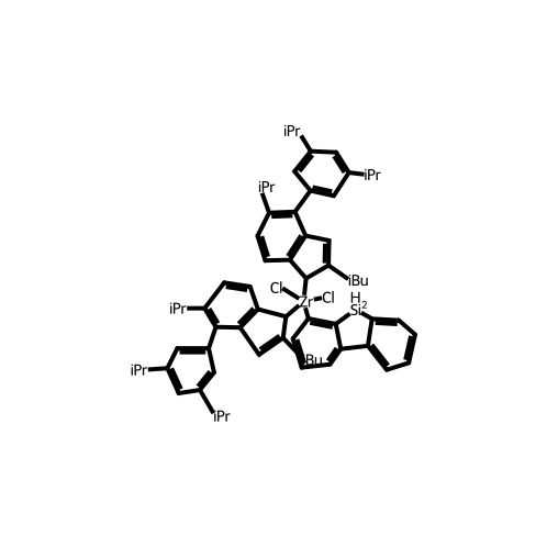 CCC(C)C1=Cc2c(ccc(C(C)C)c2-c2cc(C(C)C)cc(C(C)C)c2)[CH]1[Zr]([Cl])([Cl])([c]1cccc2c1[SiH2]c1ccccc1-2)[CH]1C(C(C)CC)=Cc2c1ccc(C(C)C)c2-c1cc(C(C)C)cc(C(C)C)c1